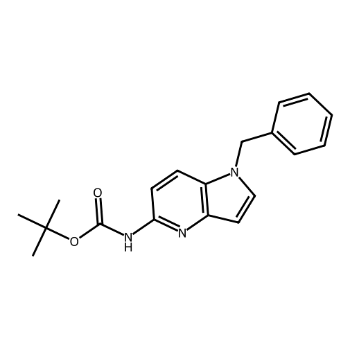 CC(C)(C)OC(=O)Nc1ccc2c(ccn2Cc2ccccc2)n1